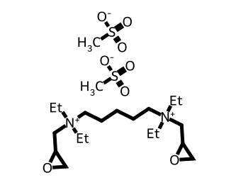 CC[N+](CC)(CCCCC[N+](CC)(CC)CC1CO1)CC1CO1.CS(=O)(=O)[O-].CS(=O)(=O)[O-]